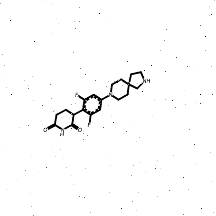 O=C1CCC(c2c(F)cc(N3CCC4(CCNC4)CC3)cc2F)C(=O)N1